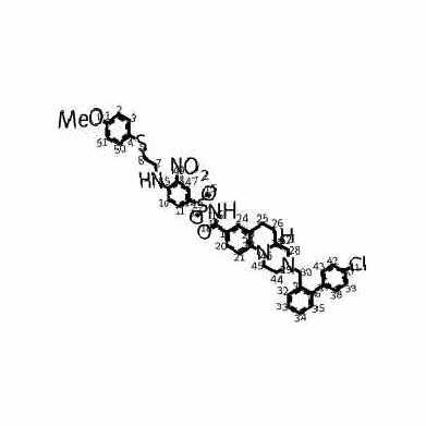 COc1ccc(SCCNc2ccc(S(=O)(=O)NC(=O)c3ccc4c(c3)CC[C@H]3CN(Cc5ccccc5-c5ccc(Cl)cc5)CCN43)cc2[N+](=O)[O-])cc1